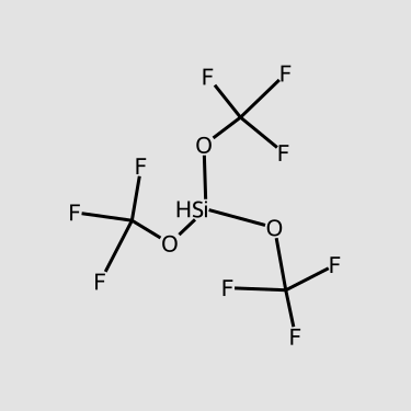 FC(F)(F)O[SiH](OC(F)(F)F)OC(F)(F)F